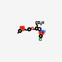 Cc1ccc(S(=O)(=O)OCCc2ccc(OCc3cc(CCC(=O)O)c4c(c3)CC(NS(=O)(=O)c3ccc(Cl)cc3)CC4)cc2)cc1